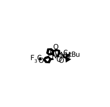 CC(C)(C)N(C(=O)O)C1(C(=O)N[C@@H]2CC(=O)c3ccccc3N(Cc3ccc(OC(F)(F)F)cc3)C2=O)CC1